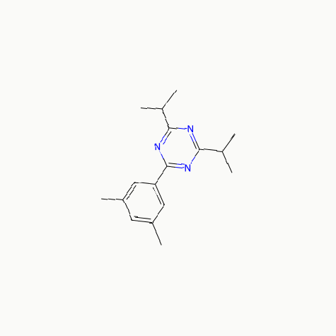 Cc1cc(C)cc(-c2nc(C(C)C)nc(C(C)C)n2)c1